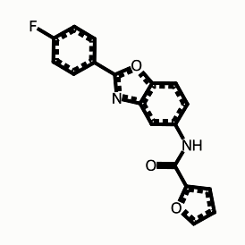 O=C(Nc1ccc2oc(-c3ccc(F)cc3)nc2c1)c1ccco1